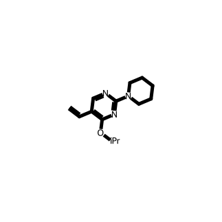 C=Cc1cnc(N2CCCCC2)nc1OC(C)C